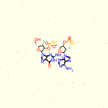 Nc1nc2c(ncn2C2O[C@H](CO)[C@@H](F)[C@H]2OP(=O)(S)OC[C@H]2O[C@@H](n3cnc4c(N)ncnc43)[C@@H](F)[C@@H]2O[PH](=O)S)c(=O)[nH]1